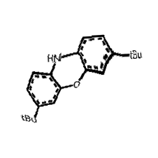 CC(C)(C)c1ccc2c(c1)Oc1cc(C(C)(C)C)ccc1N2